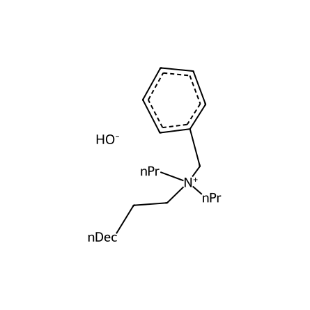 CCCCCCCCCCCC[N+](CCC)(CCC)Cc1ccccc1.[OH-]